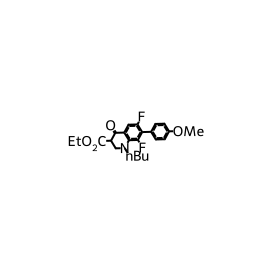 CCCCN1CC(C(=O)OCC)C(=O)c2cc(F)c(-c3ccc(OC)cc3)c(F)c21